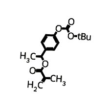 C=C(C)C(=O)OC(C)c1ccc(OC(=O)OC(C)(C)C)cc1